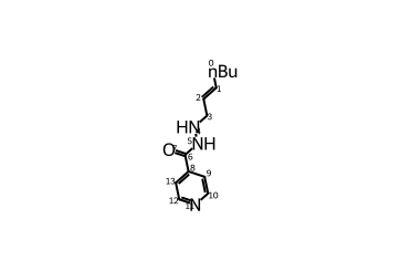 CCCCC=CCNNC(=O)c1ccncc1